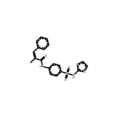 C/C(=C/c1ccccc1)C(=O)Nc1ccc(S(=O)(=O)Nc2nccs2)cc1